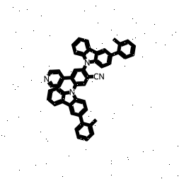 Cc1ccccc1-c1ccc2c(c1)c1ccccc1n2-c1cc(-c2ccncc2)c(-n2c3ccccc3c3cc(-c4ccccc4C)ccc32)cc1C#N